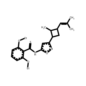 CCOc1cccc(OCC)c1C(=S)Nc1cc(C2CC(C=C(C)C)C2C)no1